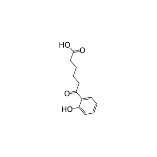 O=C(O)CCCCC(=O)c1ccccc1O